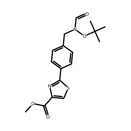 COC(=O)c1csc(-c2ccc(CN(C=O)OC(C)(C)C)cc2)n1